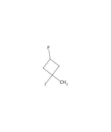 CC1(I)CC(F)C1